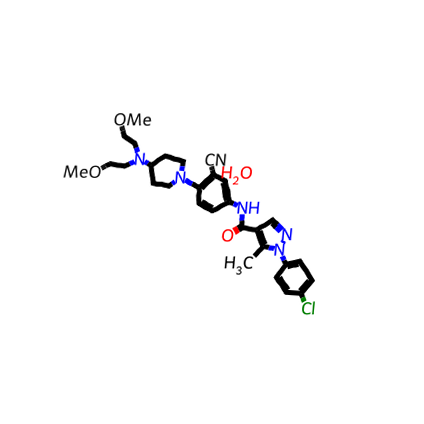 COCCN(CCOC)C1CCN(c2ccc(NC(=O)c3cnn(-c4ccc(Cl)cc4)c3C)cc2C#N)CC1.O